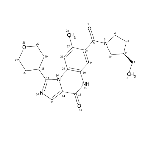 CC[C@@H]1CCN(C(=O)c2cc3[nH]c(=O)c4cnc(C5CCOCC5)n4c3cc2C)C1